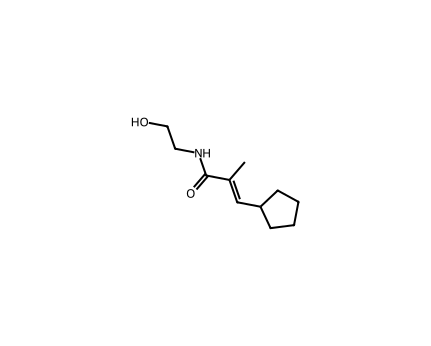 C/C(=C\C1CCCC1)C(=O)NCCO